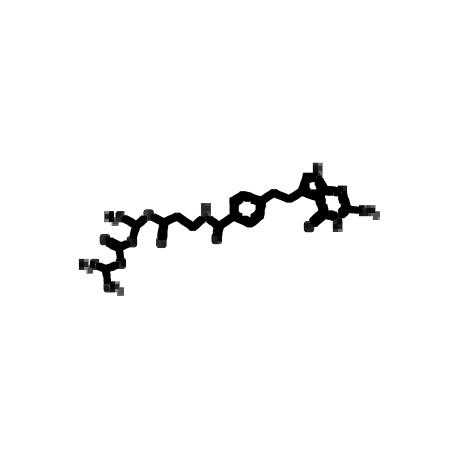 CC(C)OC(=O)OC(C)OC(=O)CCNC(=O)c1ccc(CCc2c[nH]c3nc(N)[nH]c(=O)c23)cc1